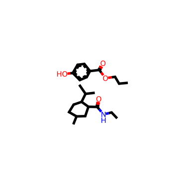 CCCOC(=O)c1ccc(O)cc1.CCNC(=O)C1CC(C)CCC1C(C)C